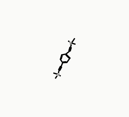 C[Si](C)(C)C#Cc1ccc(C#C[Si](C)(C)C)cc1